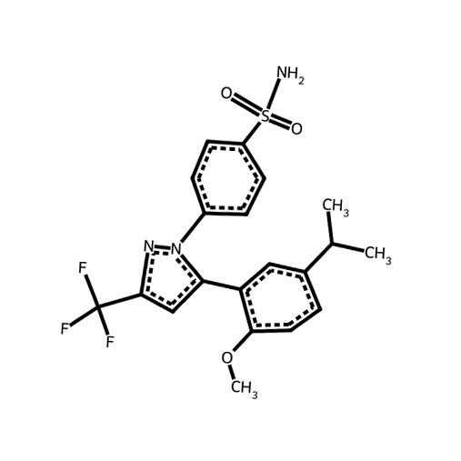 COc1ccc(C(C)C)cc1-c1cc(C(F)(F)F)nn1-c1ccc(S(N)(=O)=O)cc1